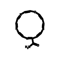 NC(=O)c1ccncccoccnccnccn1